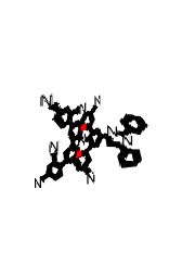 N#Cc1cccc(-c2cc(-c3cc(-c4ccccc4)nc(-c4ccccc4)n3)cc(-c3cccc(C#N)c3)c2-n2c3ccc(-c4ccc(C#N)cc4C#N)cc3c3cc(-c4ccc(C#N)cc4C#N)ccc32)c1